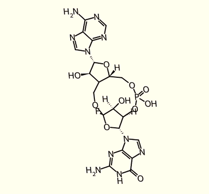 Nc1nc2c(ncn2[C@@H]2O[C@]3(F)OCC4[C@@H](O)[C@H](n5cnc6c(N)ncnc65)O[C@@H]4COP(=O)(O)O[C@@H]2[C@@H]3O)c(=O)[nH]1